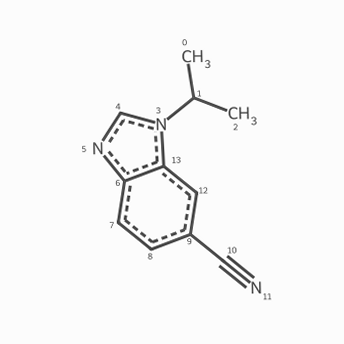 CC(C)n1cnc2ccc(C#N)cc21